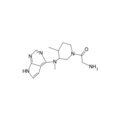 CC1CCN(C(=O)CN)CC1N(C)c1ncnc2[nH]ccc12